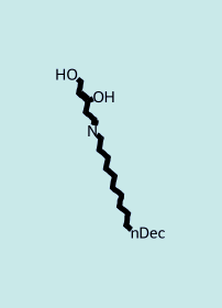 CCCCCCCCCCCCCCCCCCCCN=CCC(O)=CCO